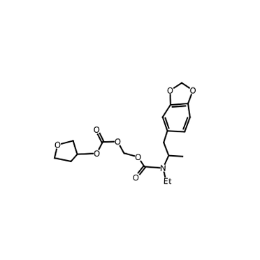 CCN(C(=O)OCOC(=O)OC1CCOC1)C(C)Cc1ccc2c(c1)OCO2